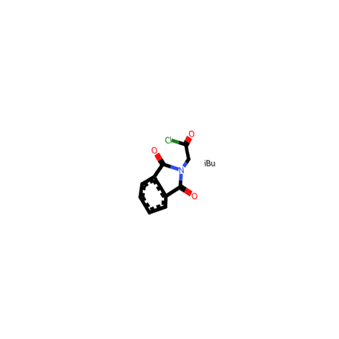 CC[C@H](C)C(C(=O)Cl)N1C(=O)c2ccccc2C1=O